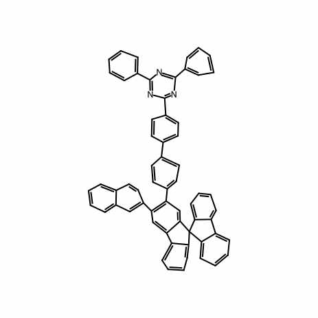 c1ccc(-c2nc(-c3ccccc3)nc(-c3ccc(-c4ccc(-c5cc6c(cc5-c5ccc7ccccc7c5)-c5ccccc5C65c6ccccc6-c6ccccc65)cc4)cc3)n2)cc1